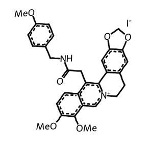 COc1ccc(CNC(=O)Cc2c3[n+](cc4c(OC)c(OC)ccc24)CCc2cc4c(cc2-3)OCO4)cc1.[I-]